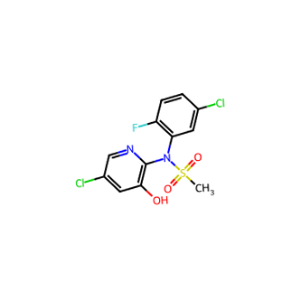 CS(=O)(=O)N(c1cc(Cl)ccc1F)c1ncc(Cl)cc1O